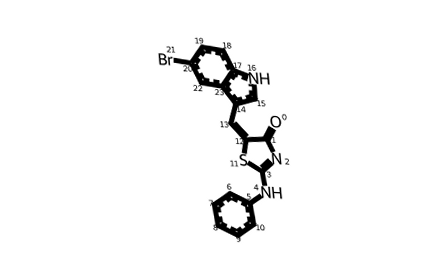 O=C1N=C(Nc2ccccc2)S/C1=C/c1c[nH]c2ccc(Br)cc12